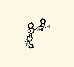 Cc1[nH]c2ccccc2c1CNC(CC(=O)N1CCC(c2cccs2)(N(C)C)CC1)c1ccccc1